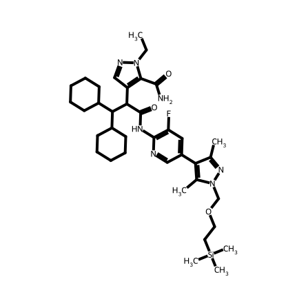 CCn1ncc(C(C(=O)Nc2ncc(-c3c(C)nn(COCC[Si](C)(C)C)c3C)cc2F)C(C2CCCCC2)C2CCCCC2)c1C(N)=O